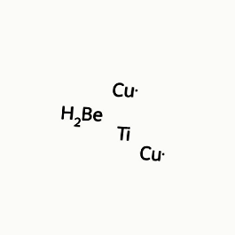 [BeH2].[Cu].[Cu].[Ti]